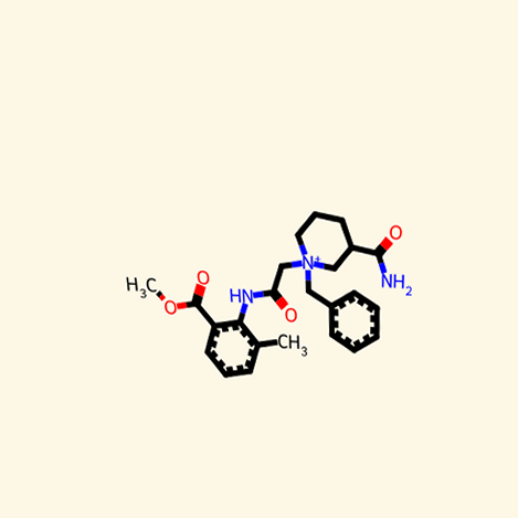 COC(=O)c1cccc(C)c1NC(=O)C[N+]1(Cc2ccccc2)CCCC(C(N)=O)C1